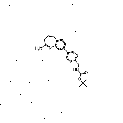 CC(C)(C)OC(=O)NCc1ncc(-c2ccc3c(c2)N=C(N)CC=C3)cn1